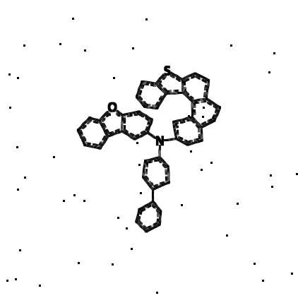 c1ccc(-c2ccc(N(c3ccc4oc5ccccc5c4c3)c3ccc4ccc5ccc6sc7ccccc7c6c5c4c3)cc2)cc1